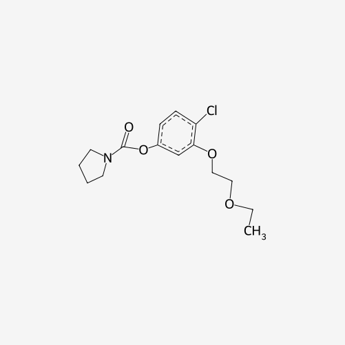 CCOCCOc1cc(OC(=O)N2CCCC2)ccc1Cl